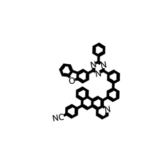 N#Cc1ccc(-c2cc3c4cccnc4c(-c4cccc(-c5cccc(-c6nc(-c7ccccc7)nc(-c7ccc8oc9ccccc9c8c7)n6)c5)c4)cc3c3ccccc23)cc1